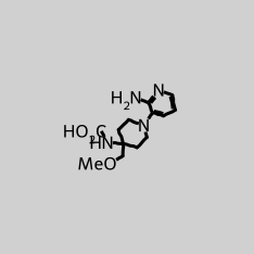 COCC1(NC(=O)O)CCN(c2cccnc2N)CC1